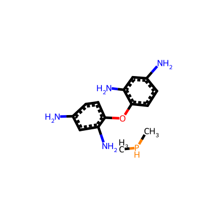 CPC.Nc1ccc(Oc2ccc(N)cc2N)c(N)c1